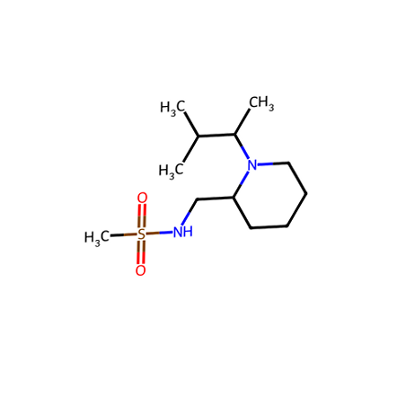 CC(C)C(C)N1CCCCC1CNS(C)(=O)=O